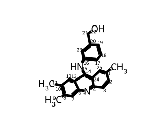 Cc1ccc2nc3cc(C)c(C)cc3c(Nc3cccc(CO)c3)c2c1